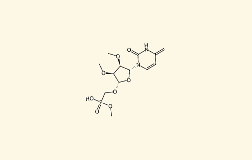 C=C1C=CN([C@@H]2O[C@H](OCP(=O)(O)OC)[C@@H](OC)[C@H]2OC)C(=O)N1